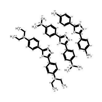 CCN(CC)c1ccc(-c2nnc(-c3ccc(N(CC)CC)cc3)o2)cc1.CN(C)c1ccc(-c2nnc(-c3ccc(N(C)C)cc3)o2)cc1.Nc1ccc(-c2nnc(-c3ccc(N)cc3)o2)cc1